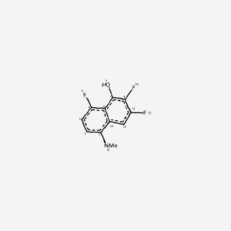 CNc1ccc(F)c2c(O)c(F)c(F)cc12